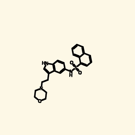 O=S(=O)(Nc1ccc2[nH]cc(CCN3CCOCC3)c2c1)c1cccc2ccccc12